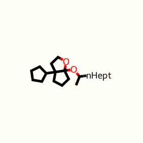 CCCCCCCC(C)OC12CCCC1(C1CCCC1)CCO2